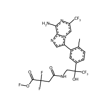 Cc1ccc(C(O)(CNC(=O)CC(F)(F)C(=O)OF)C(F)(F)F)cc1-c1cnc2c(N)nc(C(F)(F)F)cn12